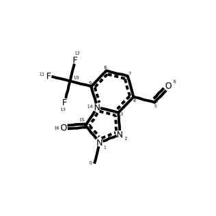 Cn1nc2c([C]=O)ccc(C(F)(F)F)n2c1=O